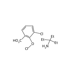 CCC(N)(CC)CC.O=C(O)c1cccc(Cl)c1OCl